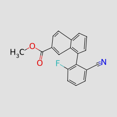 COC(=O)c1ccc2cccc(-c3c(F)cccc3C#N)c2c1